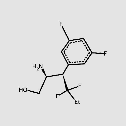 CCC(F)(F)[C@H](c1cc(F)cc(F)c1)[C@H](N)CO